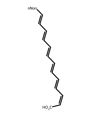 CCCCCCCCCC=CC=CC=CC=CC=C/C=C\C(=O)O